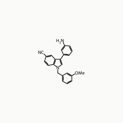 COc1cccc(Cn2cc(-c3cccc(N)c3)c3cc(C#N)ccc32)c1